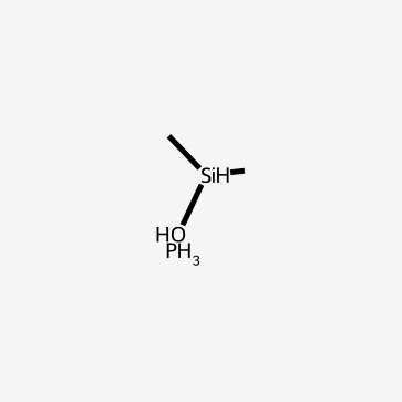 C[SiH](C)O.P